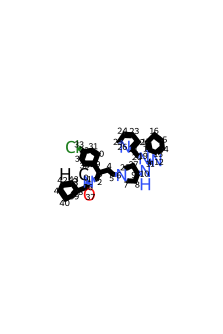 CN(CC(CCN1CCC(Nc2nc3ccccc3n2Cc2ccccn2)CC1)c1ccc(Cl)cc1)C(=O)c1ccccc1